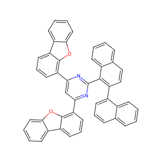 c1ccc2c(-c3ccc4ccccc4c3-c3nc(-c4cccc5c4oc4ccccc45)cc(-c4cccc5c4oc4ccccc45)n3)cccc2c1